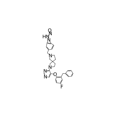 O=NNN1c2ccc(CN3CCC4(CCN(c5ncncc5Oc5ccc(F)cc5Cc5ccccc5)C4)C3)cc21